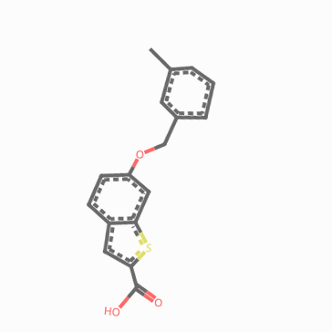 Cc1cccc(COc2ccc3cc(C(=O)O)sc3c2)c1